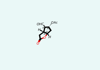 CC(=O)O[C@@H]1C[C@@H]2OC(=O)C[C@@H]2[C@H]1C=O